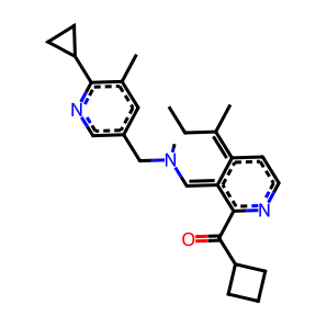 CC/C(C)=c1/ccnc(C(=O)C2CCC2)/c1=C/N(C)Cc1cnc(C2CC2)c(C)c1